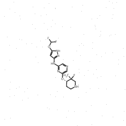 C[C@@]1(F)CNCC[C@@H]1Oc1cncc(Nc2cc(OC(F)F)[nH]n2)n1